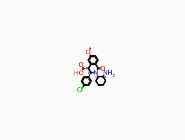 COc1ccc2c(c1)[C@@H](C(=O)O)[C@H](c1ccc(Cl)cc1)N([C@H]1CCCC[C@@H]1N)C2=O